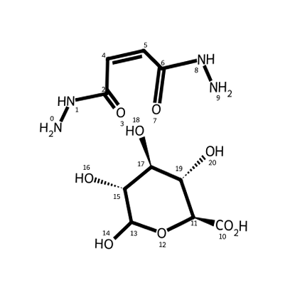 NNC(=O)/C=C\C(=O)NN.O=C(O)[C@H]1OC(O)[C@H](O)[C@@H](O)[C@@H]1O